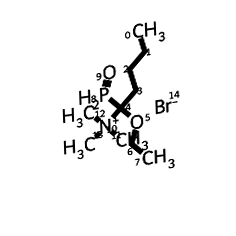 CCCCC(OCC)([PH2]=O)[N+](C)(C)C.[Br-]